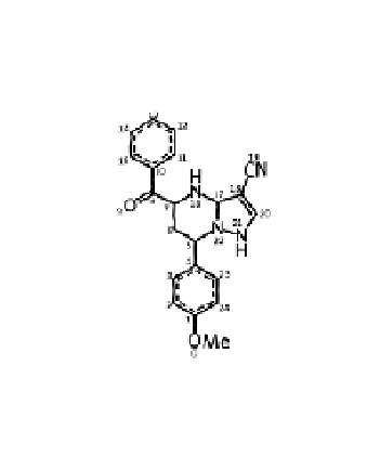 COc1ccc(C2CC(C(=O)c3ccccc3)NC3C(C#N)=CNN32)cc1